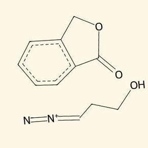 O=C1OCc2ccccc21.[N-]=[N+]=CCCO